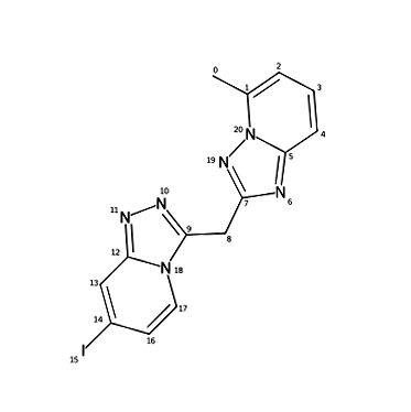 Cc1cccc2nc(Cc3nnc4cc(I)ccn34)nn12